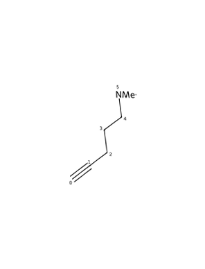 C#CCCC[N]C